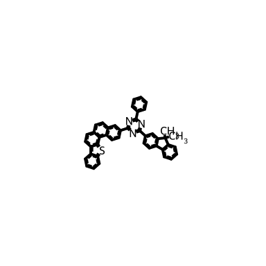 CC1(C)c2ccccc2-c2ccc(-c3nc(-c4ccccc4)nc(-c4ccc5c(ccc6ccc7c8ccccc8sc7c65)c4)n3)cc21